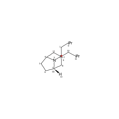 CC(C)CCN1C2CC[C@H]1CN(CC(C)C)C2